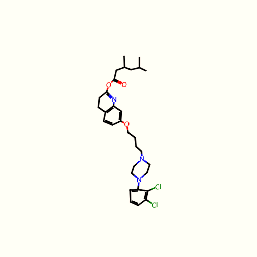 CC(C)CC(C)CC(=O)OC1=Nc2cc(OCCCCN3CCN(c4cccc(Cl)c4Cl)CC3)ccc2CC1